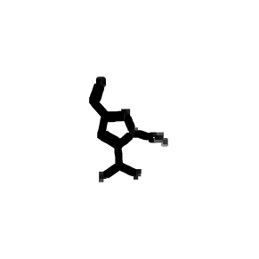 Cn1nc(C=O)cc1C(F)F